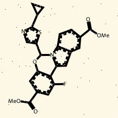 COC(=O)c1cc(F)c2c(c1)OC(c1cnc(C3CC3)s1)n1c-2cc2cc(C(=O)OC)ccc21